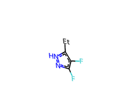 CCc1[nH]nc(F)c1F